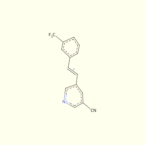 N#Cc1cncc(/C=C/c2cccc(C(F)(F)F)c2)c1